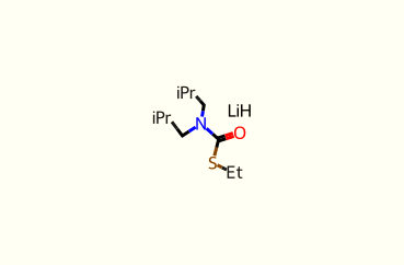 CCSC(=O)N(CC(C)C)CC(C)C.[LiH]